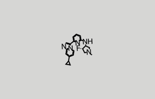 CN1C[C@H](Nc2cccc(-c3cnc4cc(C5CC5)ccn34)n2)[C@@H](F)C1